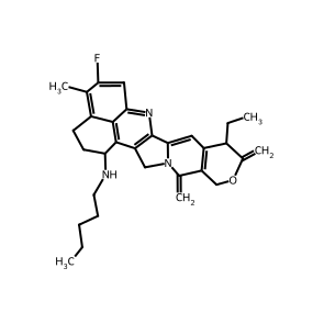 C=C1OCC2=C(C=C3c4nc5cc(F)c(C)c6c5c(c4CN3C2=C)C(NCCCCC)CC6)C1CC